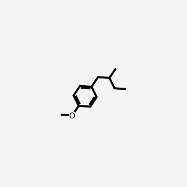 CC[C](C)Cc1ccc(OC)cc1